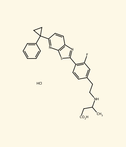 CC(CC(=O)O)NCCc1ccc(-c2nc3ccc(C4(c5ccccc5)CC4)nc3s2)c(F)c1.Cl